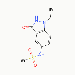 CC(C)Cn1[nH]c(=O)c2cc(NS(=O)(=O)C(C)C)ccc21